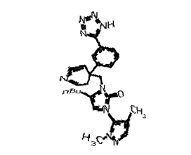 CCCCc1cn(-c2c(C)cnn2C)c(=O)n1CC1(c2cccc(-c3nnn[nH]3)c2)C=CN=CC1